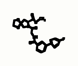 COC(=O)[C@@H]1CC2(CN1C(=O)CNC(=O)c1cccc(-c3ccc(F)cc3)c1)OCCO2